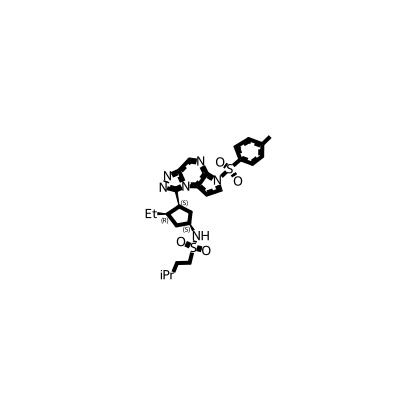 CC[C@@H]1C[C@H](NS(=O)(=O)CCC(C)C)C[C@@H]1c1nnc2cnc3c(ccn3S(=O)(=O)c3ccc(C)cc3)n12